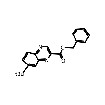 CC(C)(C)c1ccc2ncc(C(=O)OCc3ccccc3)nc2c1